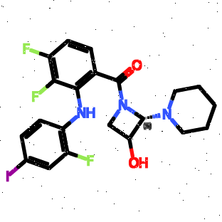 O=C(c1ccc(F)c(F)c1Nc1ccc(I)cc1F)N1CC(O)[C@H]1N1CCCCC1